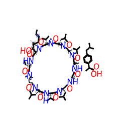 C/C=C/C[C@@H](C)[C@@H](O)[C@H]1C(=O)N[C@@H](CC)C(=O)N(C)CC(=O)N(C)[C@@H](CC(C)C)C(=O)N[C@@H](C(C)C)C(=O)N(C)[C@@H](CC(C)C)C(=O)N[C@@H](C)C(=O)N[C@H](C)C(=O)N(C)[C@@H](CC(C)C)C(=O)N(C)[C@@H](CC(C)C)C(=O)N(C)[C@@H](C(C)C)C(=O)N1C.CC(C)Cc1ccc(C(C)C(=O)O)cc1